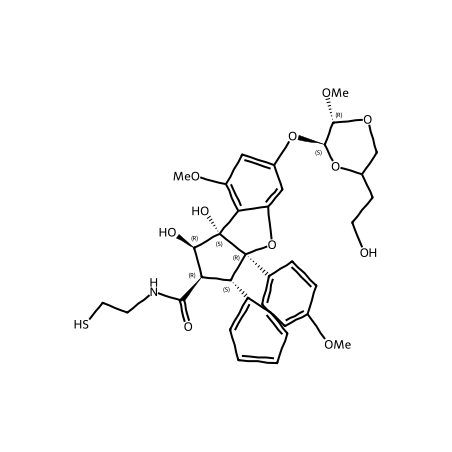 COc1ccc([C@@]23Oc4cc(O[C@@H]5OC(CCO)CO[C@H]5OC)cc(OC)c4[C@]2(O)[C@H](O)[C@H](C(=O)NCCS)[C@H]3c2ccccc2)cc1